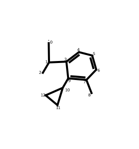 [CH2]C(C)c1cccc(C)c1C1CC1